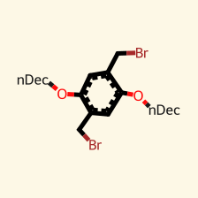 CCCCCCCCCCOc1cc(CBr)c(OCCCCCCCCCC)cc1CBr